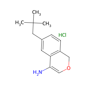 CC(C)(C)Cc1ccc2c(c1)C(N)=COC2.Cl